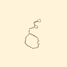 O=COCC1CCCCCCC1